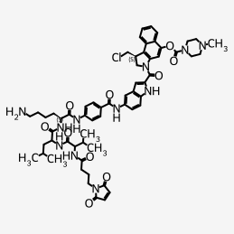 CC(C)CC(NC(=O)C(NC(=O)CCCN1C(=O)C=CC1=O)C(C)C)C(=O)N[C@@H](CCCCN)C(=O)Nc1ccc(C(=O)Nc2ccc3[nH]c(C(=O)N4C[C@@H](CCl)c5c4cc(OC(=O)N4CCN(C)CC4)c4ccccc54)cc3c2)cc1